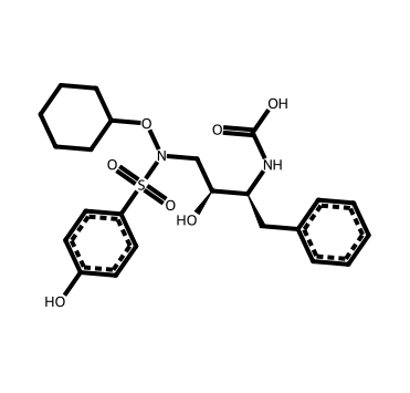 O=C(O)N[C@@H](Cc1ccccc1)[C@@H](O)CN(OC1CCCCC1)S(=O)(=O)c1ccc(O)cc1